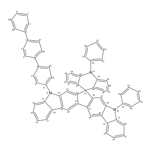 c1ccc(-c2ccc(-c3ccc(-n4c5ccccc5c5cc6c(cc54)C4(c5cc7c(cc5-6)c5ccccc5n7-c5ccccc5)c5ccccc5N(c5ccccc5)c5ccccc54)cc3)cc2)cc1